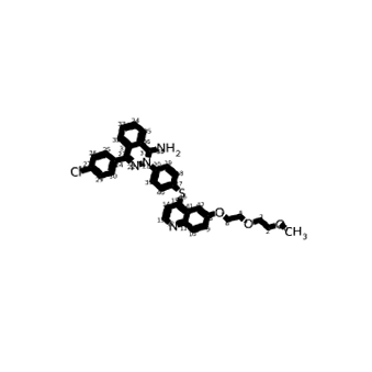 COCCOCCOc1ccc2nccc(Sc3ccc(N4N=C(c5ccc(Cl)cc5)c5ccccc5C4N)cc3)c2c1